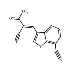 CC(=O)/C(C#N)=C/c1csc2c(C#N)cccc12